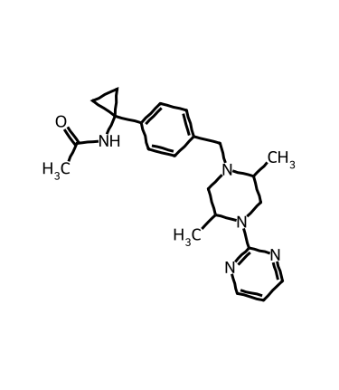 CC(=O)NC1(c2ccc(CN3CC(C)N(c4ncccn4)CC3C)cc2)CC1